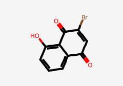 O=C1C=C(Br)C(=O)c2c(O)cccc21